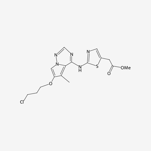 COC(=O)Cc1cnc(Nc2ncnn3cc(OCCCCl)c(C)c23)s1